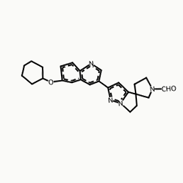 O=CN1CCC2(CCn3nc(-c4cnc5ccc(OC6CCCCC6)cc5c4)cc32)C1